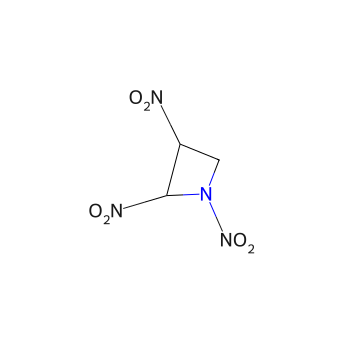 O=[N+]([O-])C1CN([N+](=O)[O-])C1[N+](=O)[O-]